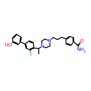 CC(c1ccc(-c2cccc(O)c2)cc1F)N1CCN(CCCc2ccc(C(N)=O)cc2)CC1